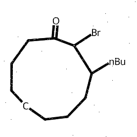 CCCCC1CCCCCCCC(=O)C1Br